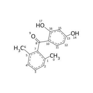 Cc1cccc(C)c1C(=O)c1ccc(O)cc1O